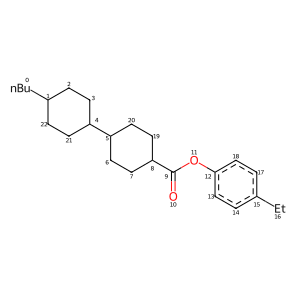 CCCCC1CCC(C2CCC(C(=O)Oc3ccc(CC)cc3)CC2)CC1